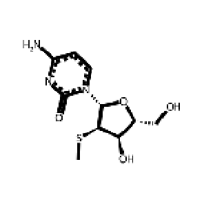 CS[C@@H]1[C@H](O)[C@@H](CO)O[C@H]1n1ccc(N)nc1=O